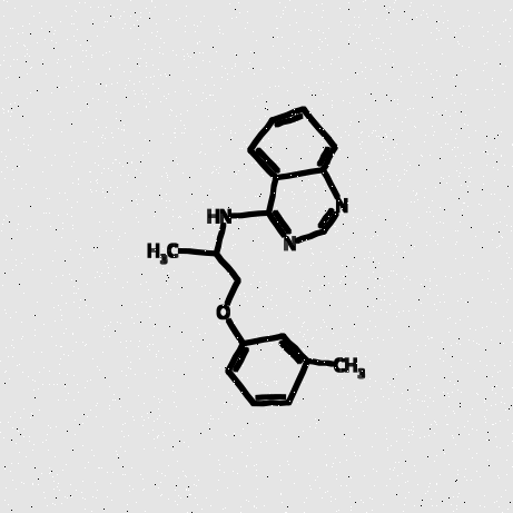 Cc1cccc(OCC(C)Nc2ncnc3ccccc23)c1